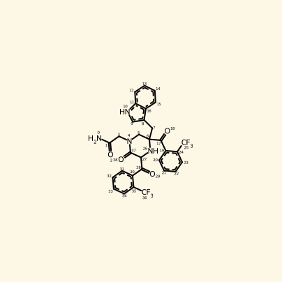 NC(=O)CN1CC(Cc2c[nH]c3ccccc23)(C(=O)c2ccccc2C(F)(F)F)NC(C(=O)c2ccccc2C(F)(F)F)C1=O